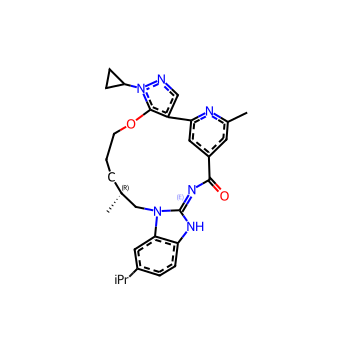 Cc1cc2cc(n1)-c1cnn(C3CC3)c1OCCC[C@@H](C)CN1/C(=N/C2=O)Nc2ccc(C(C)C)cc21